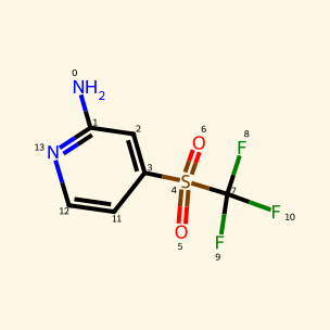 Nc1cc(S(=O)(=O)C(F)(F)F)ccn1